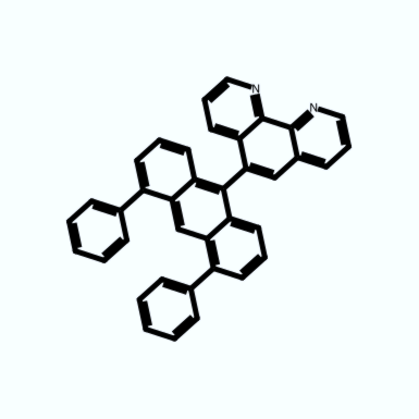 c1ccc(-c2cccc3c(-c4cc5cccnc5c5ncccc45)c4cccc(-c5ccccc5)c4cc23)cc1